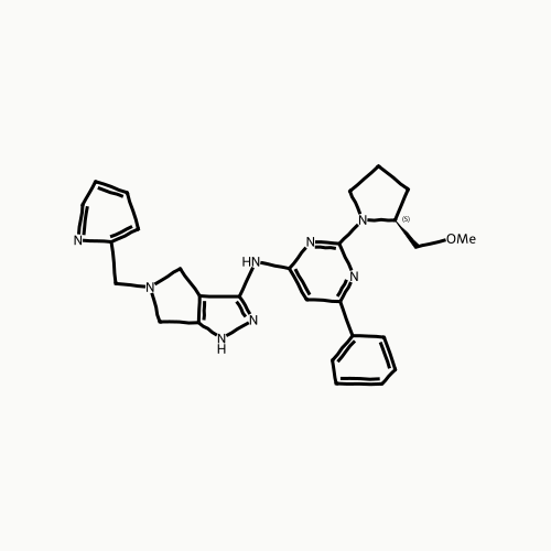 COC[C@@H]1CCCN1c1nc(Nc2n[nH]c3c2CN(Cc2ccccn2)C3)cc(-c2ccccc2)n1